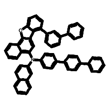 c1ccc(-c2ccc(-c3ccc(N(c4ccc5ccccc5c4)c4cc5c(oc6cccc(-c7cccc(-c8ccccc8)c7)c65)c5ccccc45)cc3)cc2)cc1